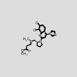 COC(=O)CCN(C)C[C@@H]1CCCN1c1cc(-n2ccnc2)c2ccc(Cl)c(Cl)c2n1